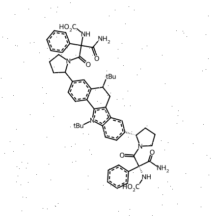 CC(C)(C)C1Cc2c(n(C(C)(C)C)c3ccc([C@@H]4CCCN4C(=O)[C@@](NC(=O)O)(C(N)=O)c4ccccc4)cc23)-c2ccc(C3CCCN3C(=O)C(NC(=O)O)(C(N)=O)c3ccccc3)cc21